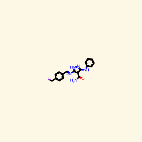 NC(=O)c1c(Nc2ccccc2)n[nH]c1/N=C/c1ccc(CI)cc1